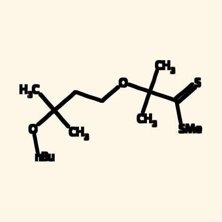 CCCCOC(C)(C)CCOC(C)(C)C(=S)SC